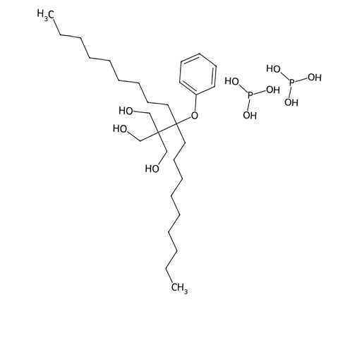 CCCCCCCCCC(CCCCCCCCC)(Oc1ccccc1)C(CO)(CO)CO.OP(O)O.OP(O)O